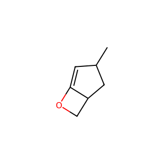 CC1C=C2OCC2C1